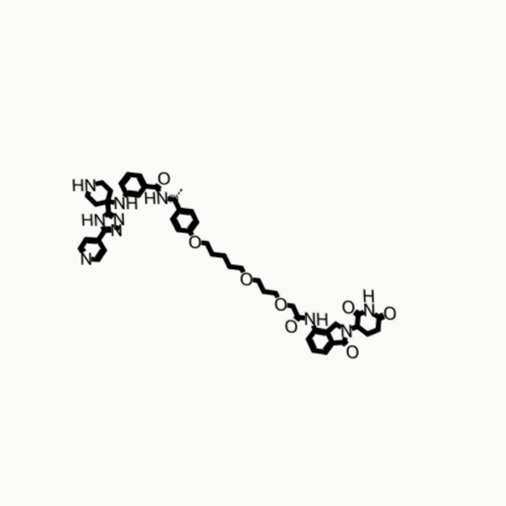 C[C@@H](NC(=O)c1cccc(NC2(c3nnc(-c4ccncc4)[nH]3)CCNCC2)c1)c1ccc(OCCCCCOCCCOCC(=O)Nc2cccc3c2CN(C2CCC(=O)NC2=O)C3=O)cc1